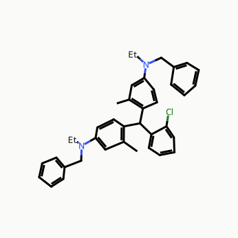 CCN(Cc1ccccc1)c1ccc(C(c2ccc(N(CC)Cc3ccccc3)cc2C)c2ccccc2Cl)c(C)c1